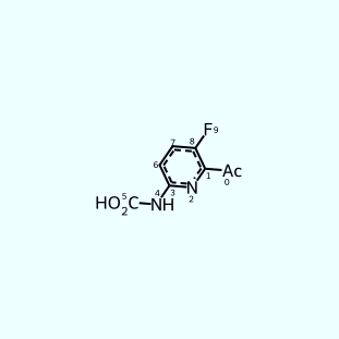 CC(=O)c1nc(NC(=O)O)ccc1F